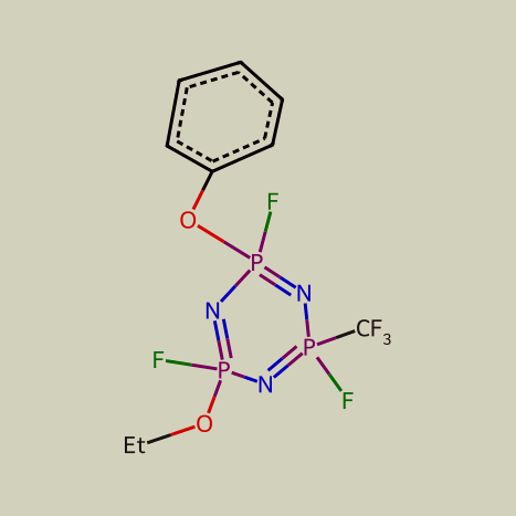 CCOP1(F)=NP(F)(Oc2ccccc2)=NP(F)(C(F)(F)F)=N1